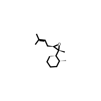 CC(C)=CC[C@H]1O[C@]1(C)[C@H]1CCCC[C@H]1C